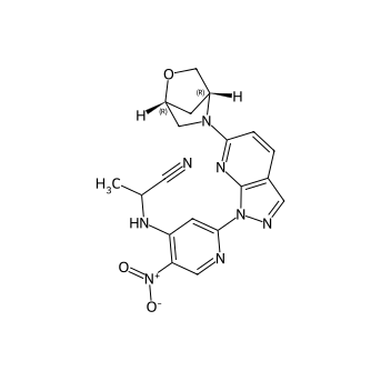 CC(C#N)Nc1cc(-n2ncc3ccc(N4C[C@H]5C[C@@H]4CO5)nc32)ncc1[N+](=O)[O-]